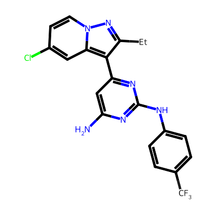 CCc1nn2ccc(Cl)cc2c1-c1cc(N)nc(Nc2ccc(C(F)(F)F)cc2)n1